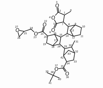 CC1C(=O)OC(=O)C1C1C2CCC(C2)C1C1C2CC(CC2C(=O)OCC2CO2)C1C1C(C)C2CC(C(=O)OC(C)(C)C)C1C2